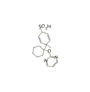 CC1(C2(Oc3ncccn3)CCCCC2)C=CC(S(=O)(=O)O)C=C1